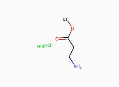 CCOC(=O)CCN.Cl.Cl